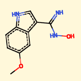 COc1ccc2[nH]cc(C(=N)NO)c2c1